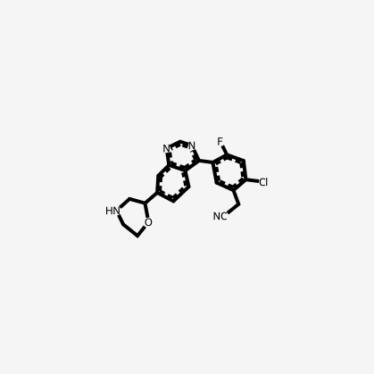 N#CCc1cc(-c2ncnc3cc(C4CNCCO4)ccc23)c(F)cc1Cl